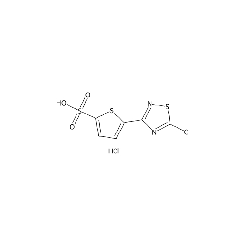 Cl.O=S(=O)(O)c1ccc(-c2nsc(Cl)n2)s1